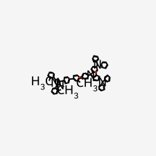 Cc1cc(-c2ccc(-c3cc(-c4ccccc4C)nc(-c4ccccc4C)n3)cc2)ccc1-c1ccc(-n2c3ccc(N(c4ccccc4)c4ccccc4)cc3c3cc(N(c4ccccc4)c4ccccc4)ccc32)cc1